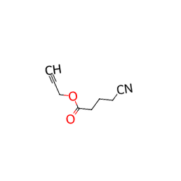 C#CCOC(=O)CCCC#N